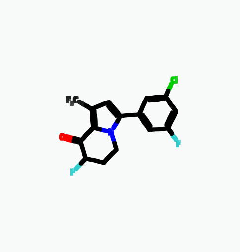 O=C1c2c(C(F)(F)F)cc(-c3cc(F)cc(Cl)c3)n2CCC1F